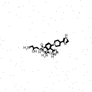 NCC(O)CNS(=O)(=O)c1ccc(N2CCC(c3c[nH]cn3)CC2)c(-c2nnn[nH]2)c1S(N)(=O)=O